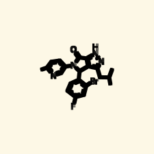 Cc1ccc(N2C(=O)c3[nH]nc(CC(C)C)c3C2c2ccc(F)cc2Br)cn1